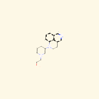 OCCN1CCCC(N2CCc3cncc4cccc2c34)C1